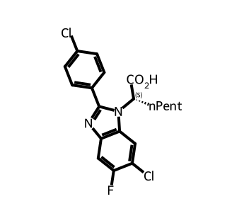 CCCCC[C@@H](C(=O)O)n1c(-c2ccc(Cl)cc2)nc2cc(F)c(Cl)cc21